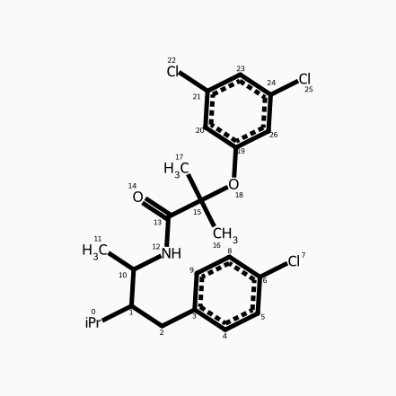 CC(C)C(Cc1ccc(Cl)cc1)C(C)NC(=O)C(C)(C)Oc1cc(Cl)cc(Cl)c1